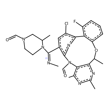 C/N=C(\c1cc(Cl)c2nc1N(C=O)c1c(C)nc(C)nc1C(C)Oc1cccc(F)c1-2)N1CCN(C=O)CC1C